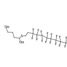 OCCCC(O)SCCC(F)(F)C(F)(F)C(F)(F)C(F)(F)C(F)(F)C(F)(F)C(F)(F)C(F)(F)F